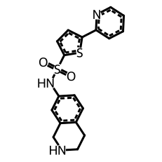 O=S(=O)(Nc1ccc2c(c1)CNCC2)c1ccc(-c2ccccn2)s1